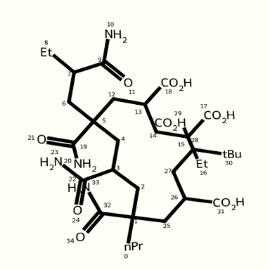 CCCC(CC(CC(CC(CC)C(N)=O)(CC(CC(CC)C(=O)O)C(=O)O)C(N)=O)C(N)=O)(CC(CC(C(=O)O)C(C)(C)C)C(=O)O)C(N)=O